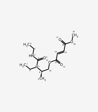 CCNC(=O)N(CC)[C@H](C)COC(=O)/C=C/C(=O)OC